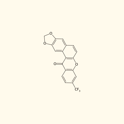 O=c1c2ccc(C(F)(F)F)cc2oc2ccc3cc4c(cc3c12)OCO4